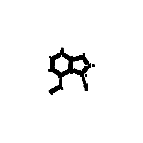 C=Cc1ccnc2cnn(Cl)c12